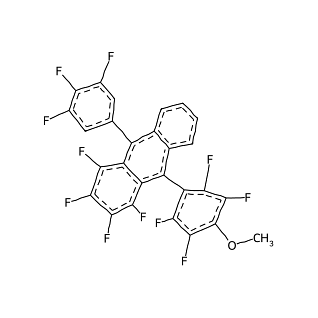 COc1c(F)c(F)c(-c2c3ccccc3c(-c3cc(F)c(F)c(F)c3)c3c(F)c(F)c(F)c(F)c23)c(F)c1F